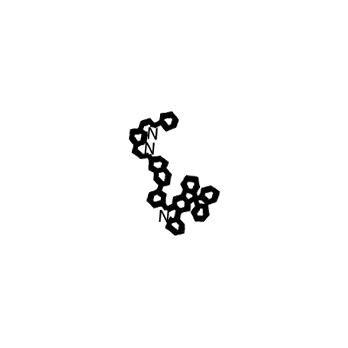 c1ccc(-c2ccc3ccc4ccc(-c5ccc6ccc(-c7cccc(-c8nc9ccccc9c9cc%10c(cc89)-c8ccccc8C%10(c8ccccc8)c8ccccc8)c7)cc6c5)nc4c3n2)cc1